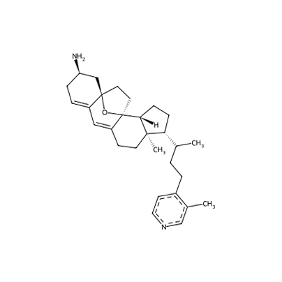 Cc1cnccc1CCC(C)[C@H]1CC[C@@H]2[C@]1(C)CCC1=CC3=CC[C@@H](N)C[C@]34CC[C@@]12O4